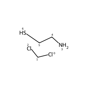 ClCCl.NCCS